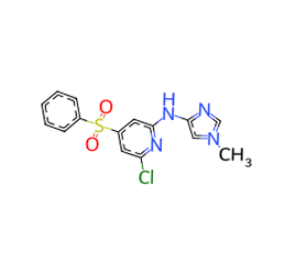 Cn1cnc(Nc2cc(S(=O)(=O)c3ccccc3)cc(Cl)n2)c1